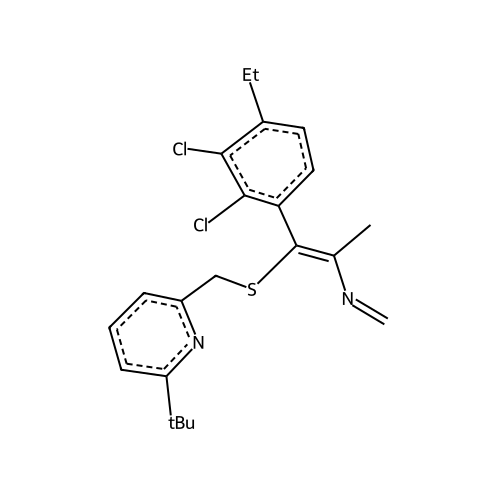 C=N/C(C)=C(\SCc1cccc(C(C)(C)C)n1)c1ccc(CC)c(Cl)c1Cl